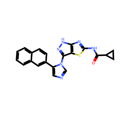 O=C(Nc1nc2[nH]nc(-n3cncc3-c3ccc4ccccc4c3)c2s1)C1CC1